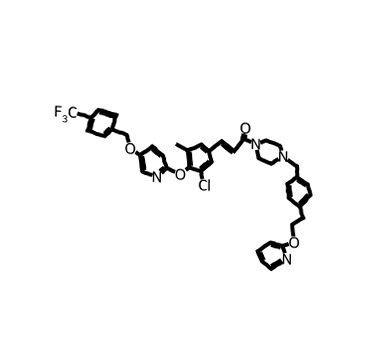 Cc1cc(C=CC(=O)N2CCN(Cc3ccc(CCOc4ccccn4)cc3)CC2)cc(Cl)c1Oc1ccc(OCc2ccc(C(F)(F)F)cc2)cn1